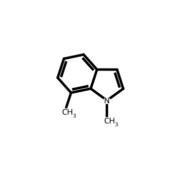 Cc1cccc2ccn(C)c12